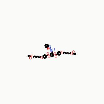 C=CC(=O)OCCCCCCOc1ccc(C(=O)Oc2ccc(OC(=O)c3ccc(OCCCCCCOC(=O)C=C)cc3)c(/C=N/Nc3nc4ccccc4o3)c2)cc1